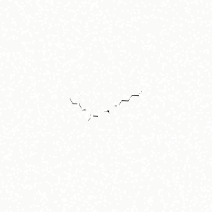 CCCCCCOC(=O)OCC(C)OCC(CC)OC